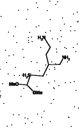 COC(OC)[SiH2]CC(CN)CCN